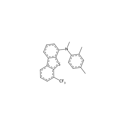 Cc1ccc(N(C)c2cccc3c2sc2c(C(F)(F)F)cccc23)c(C)c1